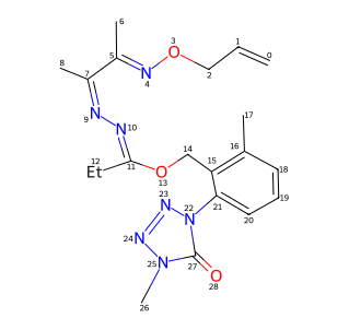 C=CCON=C(C)C(C)=N/N=C(\CC)OCc1c(C)cccc1-n1nnn(C)c1=O